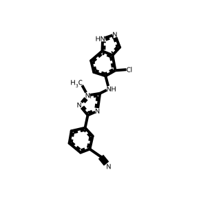 Cn1nc(-c2cccc(C#N)c2)nc1Nc1ccc2[nH]ncc2c1Cl